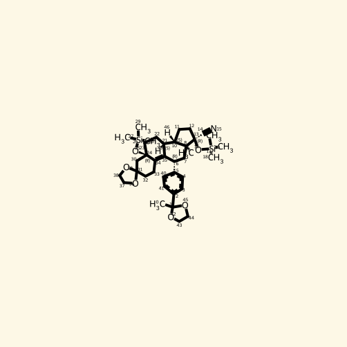 CC1(c2ccc([C@H]3C[C@@]4(C)[C@@H](CC[C@@]4(C#N)O[Si](C)(C)C)[C@@H]4CC[C@@]5(O[Si](C)(C)C)CC6(CCC5=C43)OCCO6)cc2)OCCO1